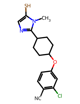 Cn1c(S)cnc1C1CCC(Oc2ccc(C#N)c(Cl)c2)CC1